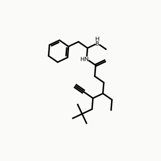 C#CC(CC(C)(C)C)C(CC)CCC(=C)NC(BC)CC1=CCCC=C1